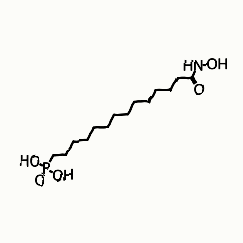 O=C(CCCCCCCCCCCCCP(=O)(O)O)NO